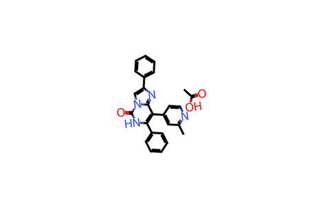 CC(=O)O.Cc1cc(-c2c(-c3ccccc3)[nH]c(=O)n3cc(-c4ccccc4)nc23)ccn1